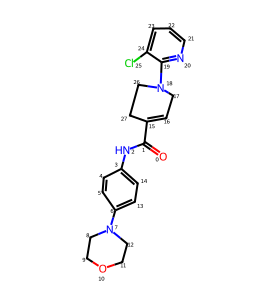 O=C(Nc1ccc(N2CCOCC2)cc1)C1=CCN(c2ncccc2Cl)CC1